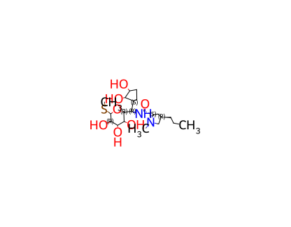 CCC[C@@H]1C[C@@H](C(=O)N[C@H]([C@@H]2CCC(O)C2O)[C@H]2OC(SC)[C@H](O)C(O)C2O)N(C)C1